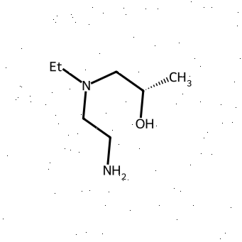 CCN(CCN)C[C@H](C)O